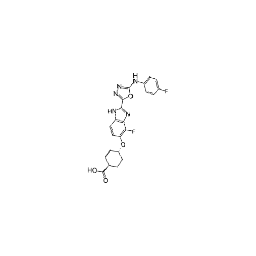 O=C(O)[C@H]1CC[C@H](Oc2ccc3[nH]c(-c4nnc(Nc5ccc(F)cc5)o4)nc3c2F)CC1